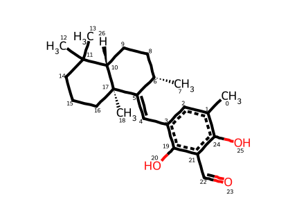 Cc1cc(/C=C2\[C@@H](C)CC[C@H]3C(C)(C)CCC[C@]23C)c(O)c(C=O)c1O